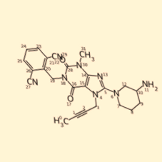 CC#CCn1c(N2CCCC(N)C2)nc2c1c(=O)n(Cc1c(C#N)cccc1C#N)c(=O)n2C